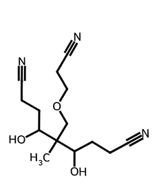 CC(COCCC#N)(C(O)CCC#N)C(O)CCC#N